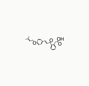 CC(C)=CCOc1ccc(C=CC(=O)c2ccccc2CC(=O)O)cc1